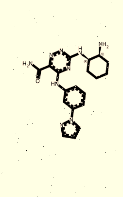 NC(=O)c1nnc(N[C@@H]2CCCC[C@@H]2N)nc1Nc1cccc(-n2cccn2)c1